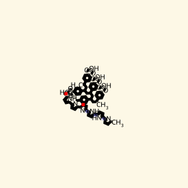 CC1=N/C(=c2\cc/c(=c3/cc/c(=C4/C=CC(c5ccc(-c6ccc(C)[nH]6)n5Cc5ccc(C(CC(C)c6ccc(S(=O)(=O)O)cc6)CC(CC(CC(C)c6ccc(S(=O)(=O)O)cc6)c6ccc(S(=O)(=O)O)cc6)c6ccc(S(=O)(=O)O)cc6)cc5)=N4)[nH]3)[nH]2)C=C1